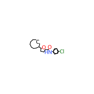 O=C(Nc1ccc(Cl)cc1)C1CCC(C2CCCCCCCCC2)O1